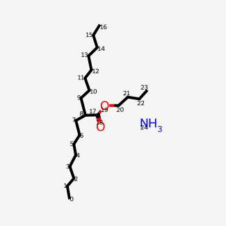 CCCCCCCCC(CCCCCCCC)C(=O)OCCCC.N